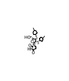 Cc1ccc(S[C@@H]2[C@H](Sc3ccc(C)cc3)[C@H](n3ccc(=O)[nH]c3=O)O[C@@H]2CO)cc1